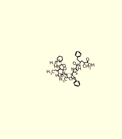 CC[C@H](C)[C@H](NC(=O)[C@H]1CCCCN1C)C(=O)N(C)[C@H](C[C@@H](OCc1ccccc1)c1nc(C(=O)NC(Cc2ccccc2)CC(C)C(=O)O)cs1)C(C)C